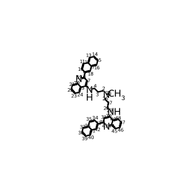 CN(CCCNc1cc(-c2ccc3ccccc3c2)nc2ccccc12)CCCNc1cc(-c2ccc3ccccc3c2)nc2ccccc12